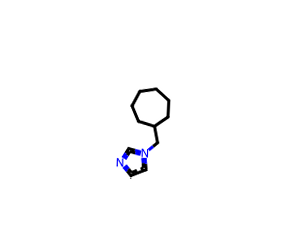 [c]1cn(CC2CCCCCC2)cn1